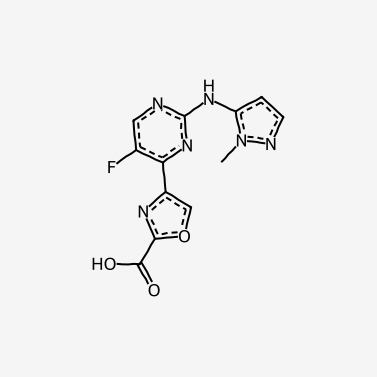 Cn1nccc1Nc1ncc(F)c(-c2coc(C(=O)O)n2)n1